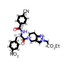 CCOC(=O)Cn1cc2c(n1)CCN(C(=O)[C@H](Cc1ccc([N+](=O)[O-])cc1)NC(=O)c1ccc(C#N)cc1)C2